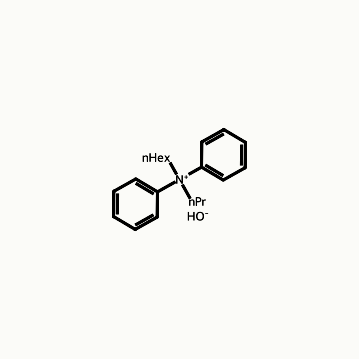 CCCCCC[N+](CCC)(c1ccccc1)c1ccccc1.[OH-]